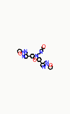 c1cc(-c2ccc3c(c2)Oc2cc(-c4ccnc5c4cnn5C4CCCCO4)ccc2N3CCN2CC3(COC3)C2)c2cnn(C3CCCCO3)c2n1